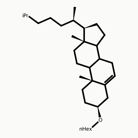 [CH2]CCCCCO[C@H]1CC[C@@]2(C)C(=CCC3C2CC[C@@]2(C)C3CC[C@@H]2[C@H](C)CCCC(C)C)C1